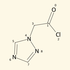 O=C(Cl)Cn1cncn1